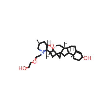 C[C@H]1C[C@H]2O[C@@]34CC[C@H]5C6CCC7=C[C@@H](O)CC[C@]7(C)[C@H]6CC56CC63C[C@@H]4[C@@H]2N(CCOCCO)C1